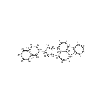 c1ccc2c(c1)-c1ccc3c4c(ccc-2c14)-c1sc(-c2ccc4ccccc4c2)cc1-3